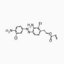 C=CC(=O)OCCc1ccc(N=Nc2ccc([N+](=O)[O-])c(Cl)c2)c(N)c1CC